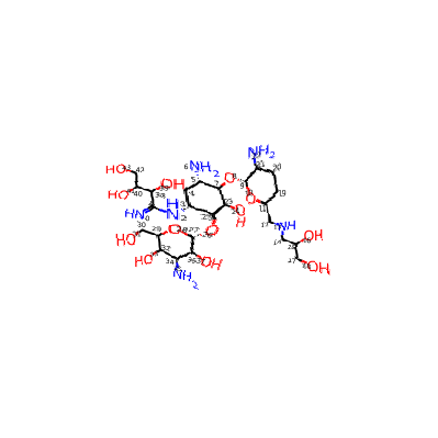 N=C(N[C@@H]1C[C@H](N)C(O[C@H]2O[C@H](CNCC(O)CO)CCC2N)C(O)C1O[C@H]1OC(CO)C(O)[C@H](N)C1O)C(O)C(O)CO